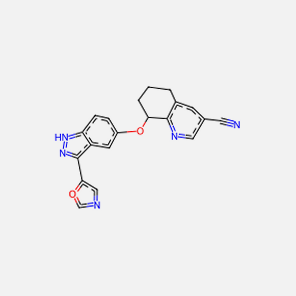 N#Cc1cnc2c(c1)CCCC2Oc1ccc2[nH]nc(-c3cnco3)c2c1